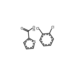 Clc1ccccc1Cl.O=C(O)c1cccs1